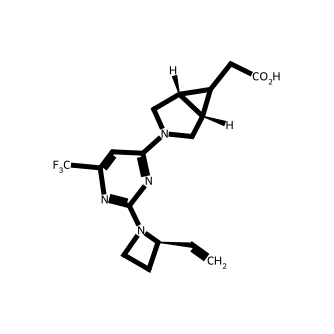 C=C[C@H]1CCN1c1nc(N2C[C@@H]3C(CC(=O)O)[C@@H]3C2)cc(C(F)(F)F)n1